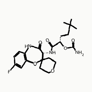 CC(C)(C)CC[C@H](OC(N)=O)C(=O)N[C@H]1C(=O)Nc2ccc(F)cc2OC12CCOCC2